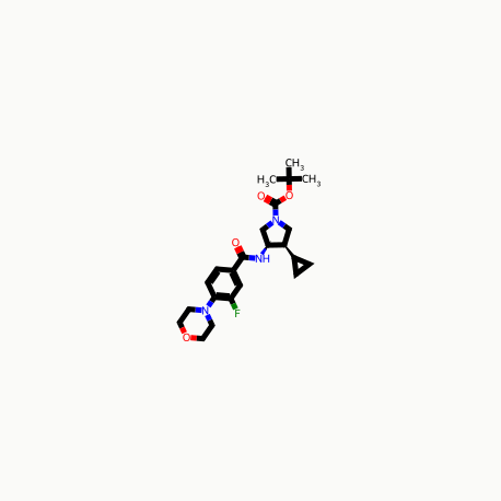 CC(C)(C)OC(=O)N1C[C@H](NC(=O)c2ccc(N3CCOCC3)c(F)c2)[C@H](C2CC2)C1